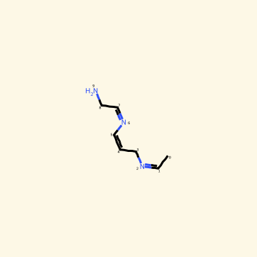 C/C=N\C/C=C\N=C/CN